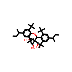 CCC(C)c1cc(C(C)(C)C)c(OC(c2c(C(C)(C)C)cc(C(C)CC)cc2C(C)(C)C)C(CO)(CO)CO)c(C(C)(C)C)c1